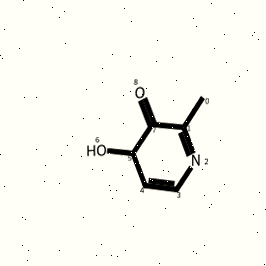 CC1=NC=CC(O)C1=O